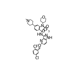 CN1CCC(c2ccc(C(=O)Nc3n[nH]c4ccc(OCc5cc(Cl)ccc5C(F)(F)F)nc34)c(N(C(=O)C(F)(F)F)C3CCOCC3)c2)CC1